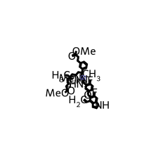 C=Cc1c(Oc2ccc(F)c(C(=N)/N=C(\NC)C(C)(CCCC(C)(C)CSCC(=O)OC)c3cccc(CCC(=O)OC)c3)c2)c(F)cc2[nH]ccc12